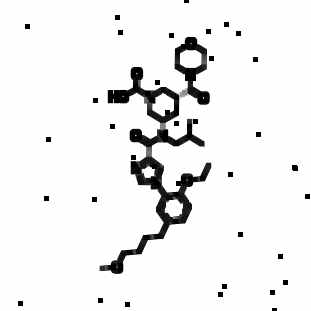 CCOc1ccc(CCCCOC)cc1-n1cnc(C(=O)N(CC(C)C)[C@H]2C[C@@H](C(=O)N3CCOCC3)CN(C(=O)O)C2)c1